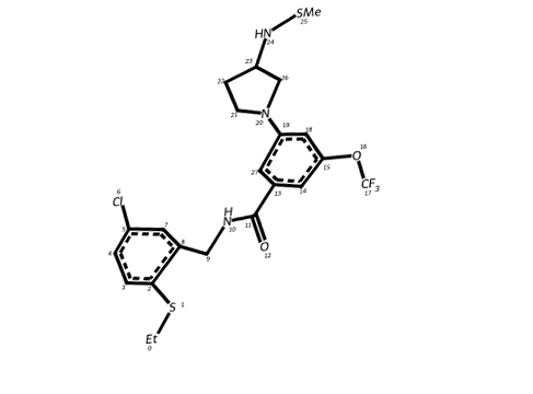 CCSc1ccc(Cl)cc1CNC(=O)c1cc(OC(F)(F)F)cc(N2CCC(NSC)C2)c1